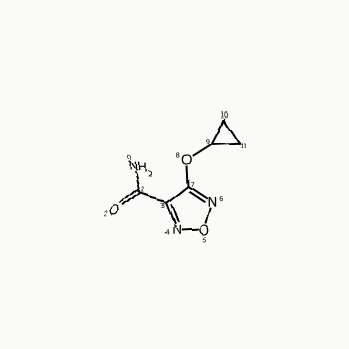 NC(=O)c1nonc1OC1CC1